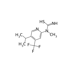 CC(C)c1cnc(N(C)C(=N)S)cc1C(F)(F)F